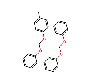 Ic1ccc(OCOc2ccccc2)cc1.c1ccc(OCOc2ccccc2)cc1